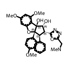 CNCc1nnc([C@H]2[C@@H](O)[C@@]3(O)c4c(OC)cc(OC)cc4O[C@@]3(c3ccc(OC)cc3)[C@@H]2c2ccccc2)o1